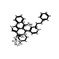 COC(=O)c1coc2c1c(C(c1ccnc(CCc3ccccc3)c1)N1CCN(C)CC1)c(O)c1ccccc12